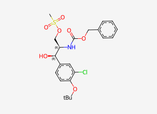 CC(C)(C)Oc1ccc([C@@H](O)[C@@H](COS(C)(=O)=O)NC(=O)OCc2ccccc2)cc1Cl